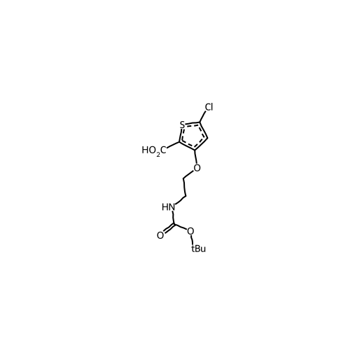 CC(C)(C)OC(=O)NCCOc1cc(Cl)sc1C(=O)O